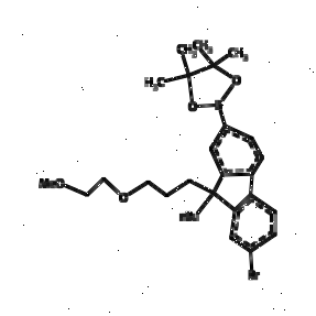 CCCCC1(CCCOCCOC)c2cc(Br)ccc2-c2ccc(B3OC(C)(C)C(C)(C)O3)cc21